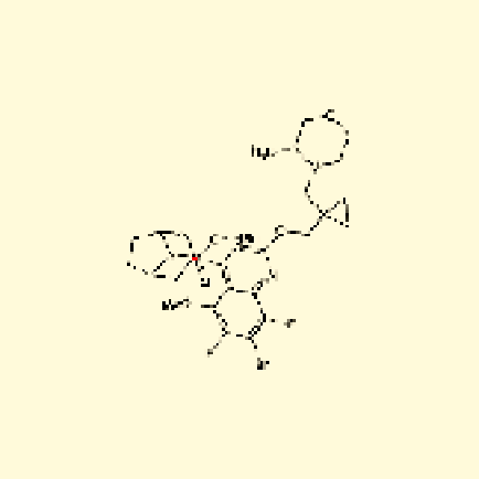 COc1c(F)c(Br)c(F)c2nc(OCC3(CN4CCOC[C@H]4C)CC3)nc(N3CC4CCC(C3)N4C(=O)OC(C)(C)C)c12